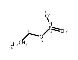 CCO[PH](=O)[O-].[Li+]